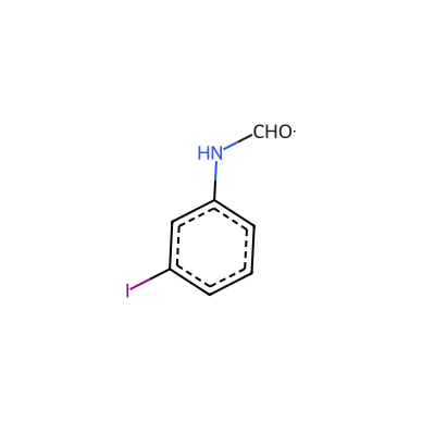 O=[C]Nc1cccc(I)c1